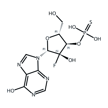 OC[C@H]1O[C@@H](n2cnc3c(O)ncnc32)[C@@](O)(F)[C@@H]1OP(O)(O)=S